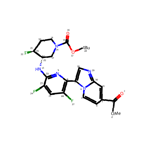 COC(=O)c1ccn2c(-c3nc(N[C@H]4CN(C(=O)OC(C)(C)C)CC[C@@H]4F)c(F)cc3F)cnc2c1